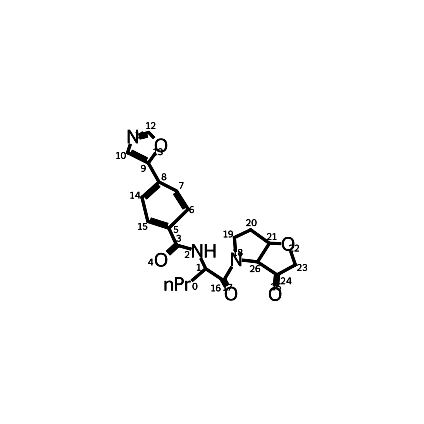 CCCC(NC(=O)c1ccc(-c2cnco2)cc1)C(=O)N1CCC2OCC(=O)C21